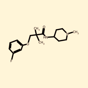 CN1CCC(NC(=O)C(C)(C)COc2cccc(F)c2)CC1